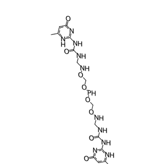 Cc1cc(=O)nc(NC(=O)NCNOCOPOCONCNC(=O)Nc2nc(=O)cc(C)[nH]2)[nH]1